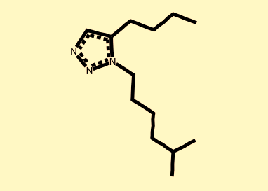 CCCCc1cnnn1CCCCC(C)C